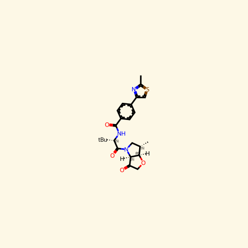 Cc1nc(-c2ccc(C(=O)N[C@H](C(=O)N3C[C@H](C)[C@H]4OCC(=O)[C@H]43)C(C)(C)C)cc2)cs1